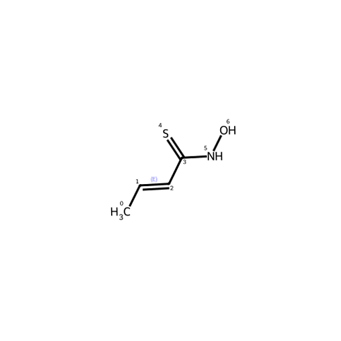 C/C=C/C(=S)NO